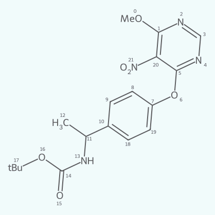 COc1ncnc(Oc2ccc(C(C)NC(=O)OC(C)(C)C)cc2)c1[N+](=O)[O-]